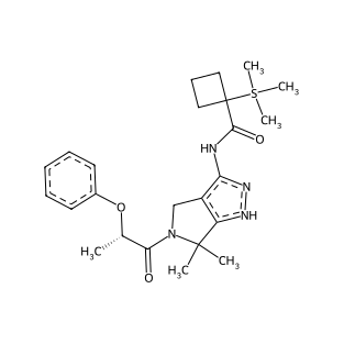 C[C@H](Oc1ccccc1)C(=O)N1Cc2c(NC(=O)C3(S(C)(C)C)CCC3)n[nH]c2C1(C)C